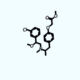 COC(=O)COc1ccc(CC(C)N(C)CC(OC)c2cccc(Cl)c2)cc1